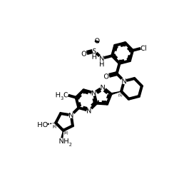 Cc1cn2nc([C@@H]3CCCCN3C(=O)c3cc(Cl)ccc3N[SH](=O)=O)cc2nc1N1C[C@@H](N)[C@H](O)C1